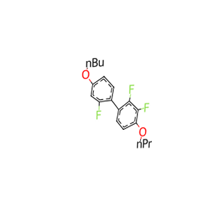 CCCCOc1ccc(-c2ccc(OCCC)c(F)c2F)c(F)c1